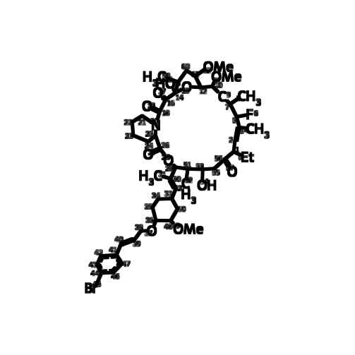 CCC1/C=C(\C)C(F)C(C)CC(OC)C2OC(O)(C(=O)C(=O)N3CCCCC3C(=O)OC(C(C)=CC3CCC(OCC=Cc4ccc(Br)cc4)C(OC)C3)C(C)C(O)CC1=O)C(C)CC2OC